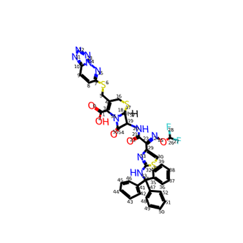 O=C(O)C1=C(CSc2ccc3nnnn3n2)CS[C@H]2C(NC(=O)C(=NOC(F)F)c3csc(NC(c4ccccc4)(c4ccccc4)c4ccccc4)n3)C(=O)N12